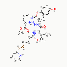 COC(=O)C1CCCN(C(=O)[C@H](Cc2cccc(O)c2)NC(=O)[C@@H](NC(=O)CCCSSc2ccccn2)C(C)C)N1